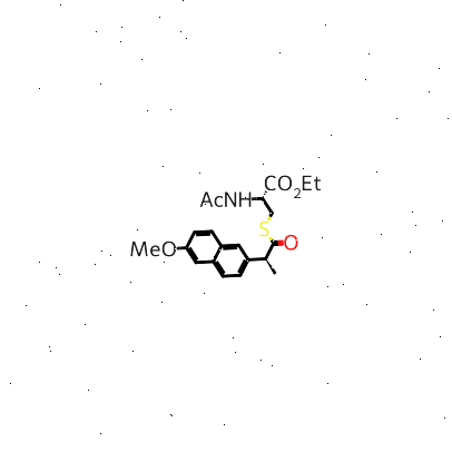 CCOC(=O)[C@H](CSC(=O)[C@@H](C)c1ccc2cc(OC)ccc2c1)NC(C)=O